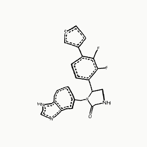 O=C1NCC(c2ccc(-c3ccsc3)c(F)c2F)N1c1ccc2[nH]cnc2c1